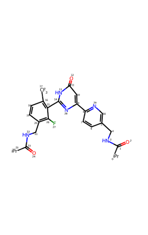 CC(C)C(=O)NCc1ccc(-c2cc(=O)[nH]c(-c3c(C(F)(F)F)ccc(CNC(=O)C(C)C)c3F)n2)nc1